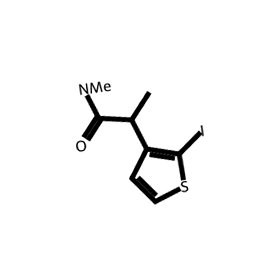 CNC(=O)C(C)c1ccsc1I